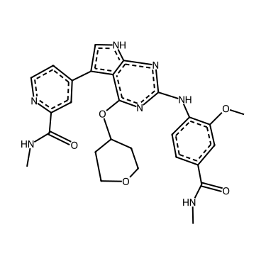 CNC(=O)c1ccc(Nc2nc(OC3CCOCC3)c3c(-c4ccnc(C(=O)NC)c4)c[nH]c3n2)c(OC)c1